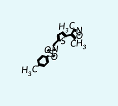 Cc1ccc(S(=O)(=O)N=Cc2ccc(-c3c(C)noc3C)s2)cc1